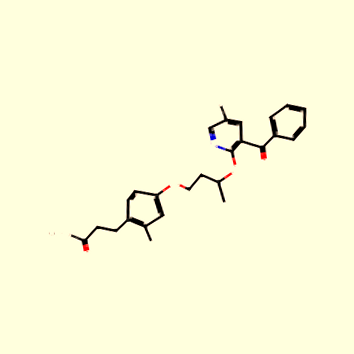 CCc1cnc(OC(C)CCOc2ccc(CCC(=O)OC)c(C)c2)c(C(=O)c2ccccc2)c1